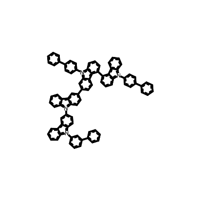 c1ccc(-c2ccc(-n3c4ccccc4c4c(-c5cccc6c5c5ccc(-c7ccc8c(c7)c7ccccc7n8-c7ccc8c(c7)c7ccccc7n8-c7cccc(-c8ccccc8)c7)cc5n6-c5ccc(-c6ccccc6)cc5)cccc43)cc2)cc1